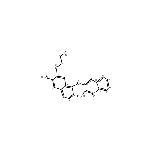 COc1cc2nccc(Oc3cc4ccccc4nc3C)c2cc1OCCCl